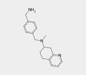 CN(Cc1ccc(CN)cc1)C1CCc2cccnc2C1